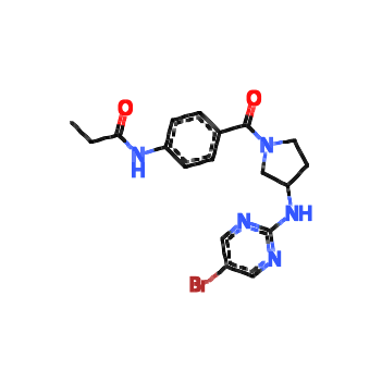 CCC(=O)Nc1ccc(C(=O)N2CCC(Nc3ncc(Br)cn3)C2)cc1